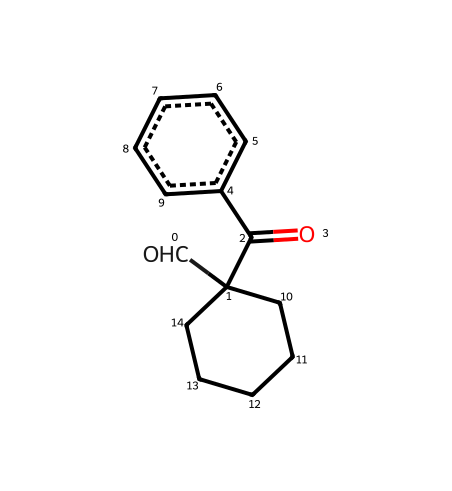 O=CC1(C(=O)c2ccccc2)CCCCC1